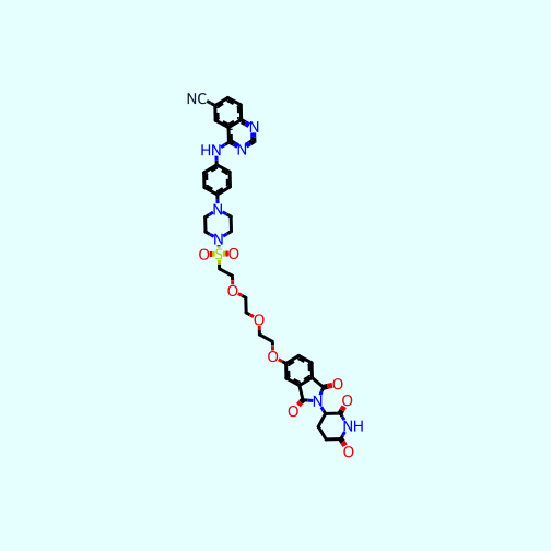 N#Cc1ccc2ncnc(Nc3ccc(N4CCN(S(=O)(=O)CCOCCOCCOc5ccc6c(c5)C(=O)N(C5CCC(=O)NC5=O)C6=O)CC4)cc3)c2c1